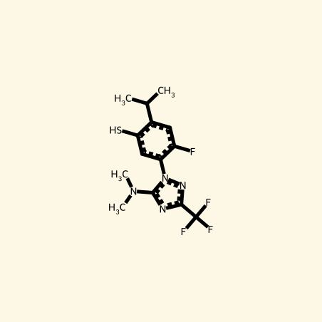 CC(C)c1cc(F)c(-n2nc(C(F)(F)F)nc2N(C)C)cc1S